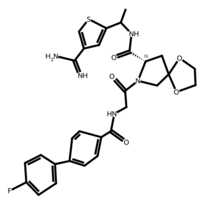 CC(NC(=O)[C@@H]1CC2(CN1C(=O)CNC(=O)c1ccc(-c3ccc(F)cc3)cc1)OCCO2)c1cc(C(=N)N)cs1